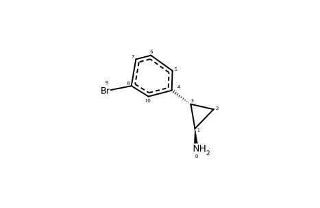 N[C@@H]1C[C@H]1c1cccc(Br)c1